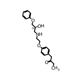 CCC(=O)Cc1ccc(OCCNC[C@H](O)COc2ccccc2)cc1